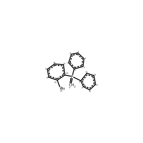 C=P(c1ccccc1)(c1ccccc1)c1ccccc1C(C)CC